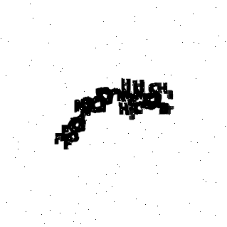 Cc1cc(Br)cc(C)c1NC(=S)NN=Cc1ccc2c(c1)CCc1c-2cnn1-c1ccc(OC(F)(F)F)cc1